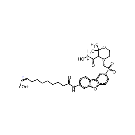 CCCCCCCC/C=C\CCCCCCCC(=O)Nc1ccc2c(c1)oc1ccc(S(=O)(=O)SN3CCOC(C)(C)C3C(=O)NO)cc12